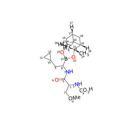 COCC(NC(=O)O)C(=O)NC(CC1CC1)B1O[C@@H]2C[C@@H]3C[C@@H](C3(C)C)[C@]2(C)O1